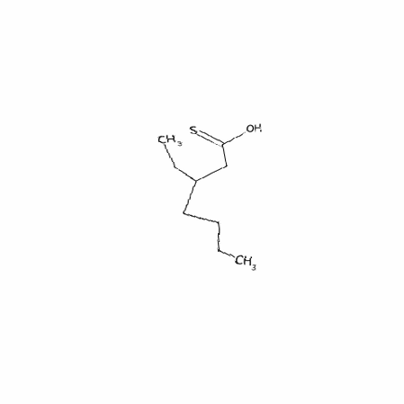 CCCCC(CC)CC(O)=S